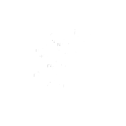 Cc1cc(NC(=O)C2=C(O)[C@@]3(C)CCCN3N(Cc3cccc(F)c3F)C2=O)c(C(F)(F)F)o1